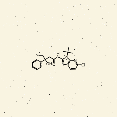 CC(C)(C)n1c(NC(=O)CC(O)(CF)c2ccccc2)nc2ccc(Cl)nc21